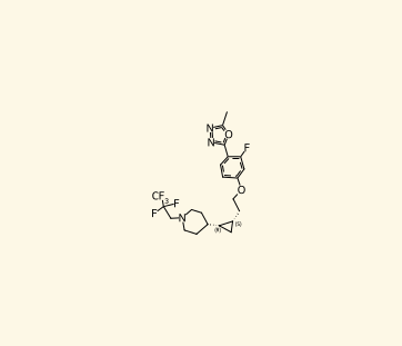 Cc1nnc(-c2ccc(OCC[C@@H]3C[C@@H]3C3CCN(CC(F)(F)C(F)(F)F)CC3)cc2F)o1